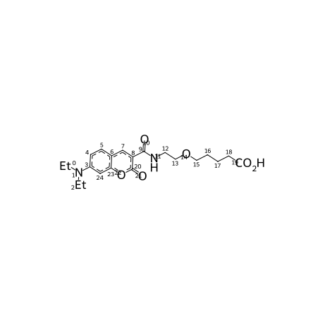 CCN(CC)c1ccc2cc(C(=O)NCCOCCCCC(=O)O)c(=O)oc2c1